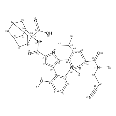 COc1cccc(OC)c1-c1cc(C(=O)NC2(C(=O)O)C3CC4CC(C3)CC2C4)nn1-c1ccc(C(=O)N(C)CCC#N)cc1C(C)C